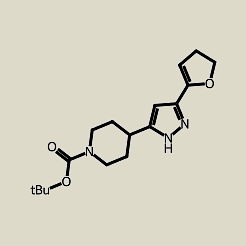 CC(C)(C)OC(=O)N1CCC(c2cc(C3=CCCO3)n[nH]2)CC1